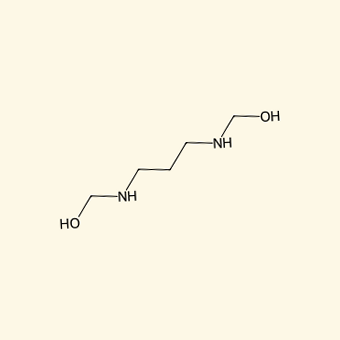 OCNCCCNCO